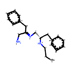 CC(C)(C)CCN[C@H](C/N=C(/CN)Cc1ccccc1)Cc1ccccc1